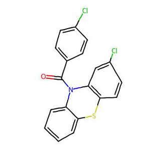 O=C(c1ccc(Cl)cc1)N1c2ccccc2Sc2ccc(Cl)cc21